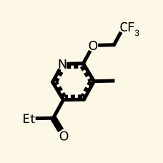 CCC(=O)c1cnc(OCC(F)(F)F)c(C)c1